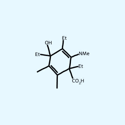 CCC1=C(NC)C(CC)(C(=O)O)C(C)=C(C)C1(O)CC